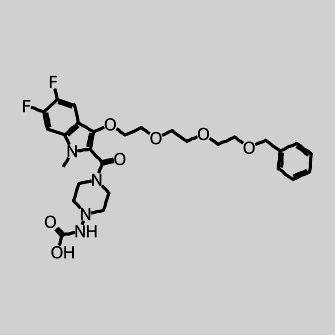 Cn1c(C(=O)N2CCN(NC(=O)O)CC2)c(OCCOCCOCCOCc2ccccc2)c2cc(F)c(F)cc21